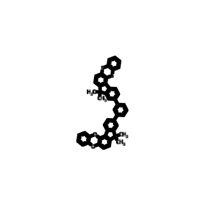 CC1(C)c2cc(-c3cccc(-c4ccc5c(c4)C(C)(C)c4ccc6c(c4-5)Sc4ccccc4S6)c3)ccc2-c2c1ccc1c2Oc2ccccc2O1